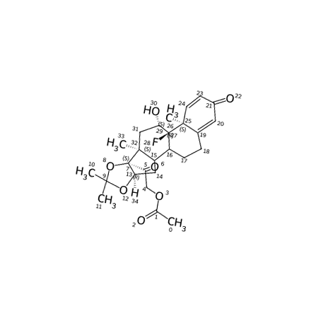 CC(=O)OCC(=O)[C@@]12OC(C)(C)O[C@@H]1CC1C3CCC4=CC(=O)C=C[C@]4(C)[C@@]3(F)[C@@H](O)C[C@@]12C